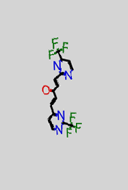 O=C(/C=C/c1ccnc(C(F)(F)F)n1)/C=C/c1nccc(C(F)(F)F)n1